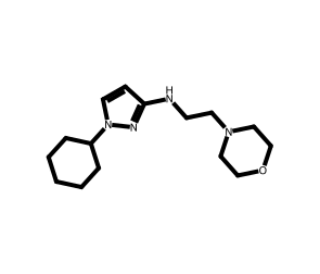 c1cn(C2CCCCC2)nc1NCCN1CCOCC1